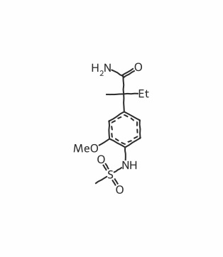 CCC(C)(C(N)=O)c1ccc(NS(C)(=O)=O)c(OC)c1